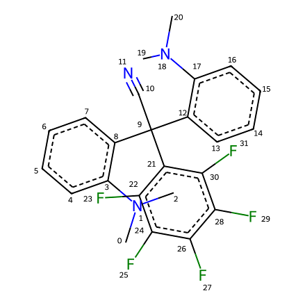 CN(C)c1ccccc1C(C#N)(c1ccccc1N(C)C)c1c(F)c(F)c(F)c(F)c1F